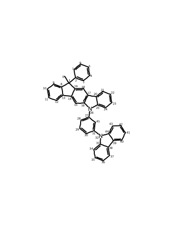 CC1(c2ccccc2)c2ccccc2-c2cc3c(cc21)c1ccccc1n3-c1cccc(-n2c3ccccc3c3ccccc32)c1